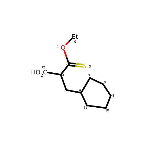 CCOC(=S)C(CC1CCCCC1)C(=O)O